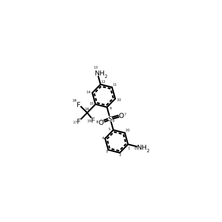 Nc1cccc(S(=O)(=O)c2ccc(N)cc2C(F)(F)F)c1